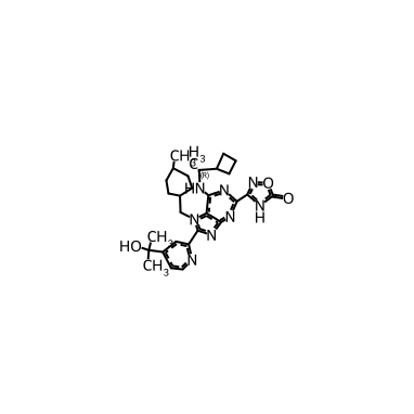 CC1CCC(Cn2c(-c3cc(C(C)(C)O)ccn3)nc3nc(-c4noc(=O)[nH]4)nc(N[C@H](C)C4CCC4)c32)CC1